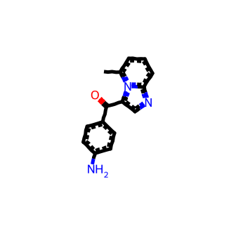 Cc1cccc2ncc(C(=O)c3ccc(N)cc3)n12